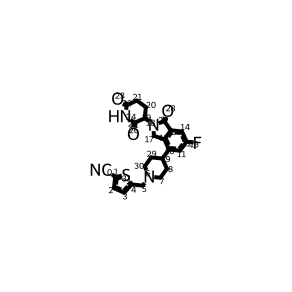 N#Cc1ccc(CN2CCC(c3cc(F)cc4c3CN(C3CCC(=O)NC3=O)C4=O)CC2)s1